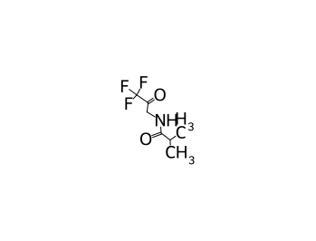 CC(C)C(=O)NCC(=O)C(F)(F)F